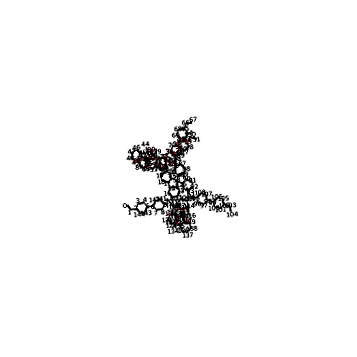 C=Cc1ccc(-c2ccc(N(c3ccc4c(c3)-c3ccc(N(c5ccc(-c6ccc(C=C)cc6)cc5)c5ccc6c(c5)C(C)(C)c5ccccc5-6)cc3C43c4cc(N(c5ccc(-c6ccc(C=C)cc6)cc5)c5ccc6c(c5)C(C)(C)c5ccccc5-6)ccc4-c4ccc(N(c5ccc(-c6ccc(C=C)cc6)cc5)c5ccc6c(c5)C(C)(C)c5ccccc5-6)cc43)c3ccc4c(c3)C(C)(C)c3ccccc3-4)cc2)cc1